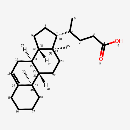 CC(CCC(=O)O)[C@H]1CC[C@H]2[C@@H]3CC=C4CCCC[C@]4(C)[C@H]3CC[C@]12C